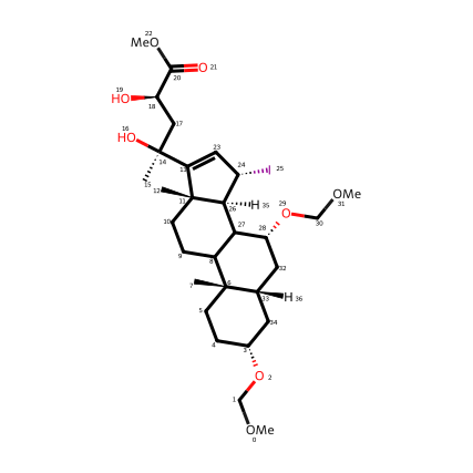 COCO[C@@H]1CC[C@]2(C)C3CC[C@]4(C)C([C@@](C)(O)C[C@@H](O)C(=O)OC)=C[C@H](I)[C@H]4C3[C@H](OCOC)C[C@@H]2C1